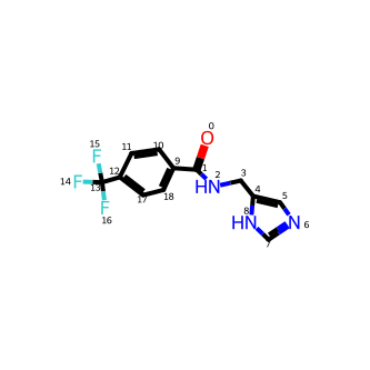 O=C(NCc1cnc[nH]1)c1ccc(C(F)(F)F)cc1